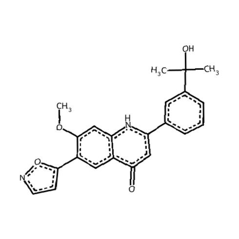 COc1cc2[nH]c(-c3cccc(C(C)(C)O)c3)cc(=O)c2cc1-c1ccno1